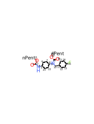 CCCCCOC(=O)Nc1ccc(N(Cc2ccc(F)cc2)C(=O)OCCCCC)cc1